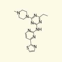 CCc1nc(Nc2nccc(-c3nccs3)n2)nc(N2CCN(C)CC2)n1